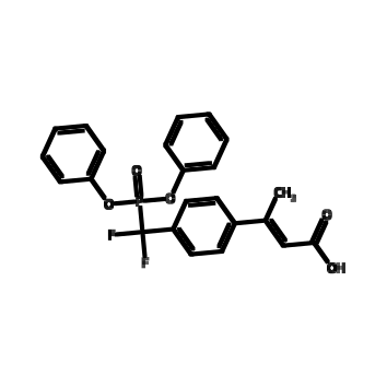 CC(=CC(=O)O)c1ccc(C(F)(F)P(=O)(Oc2ccccc2)Oc2ccccc2)cc1